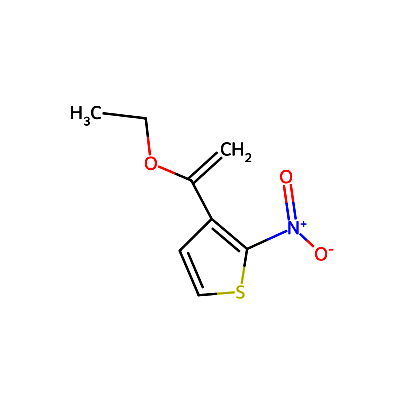 C=C(OCC)c1ccsc1[N+](=O)[O-]